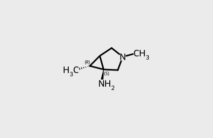 C[C@@H]1C2CN(C)C[C@@]21N